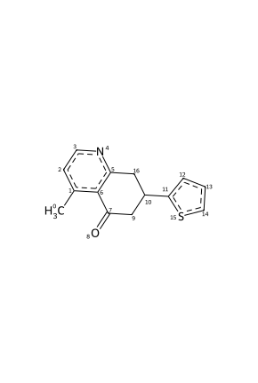 Cc1ccnc2c1C(=O)CC(c1cccs1)C2